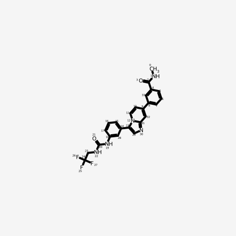 CNC(=O)c1cccc(-c2ccn3c(-c4cccc(NC(=O)NCC(F)(F)F)c4)cnc3c2)c1